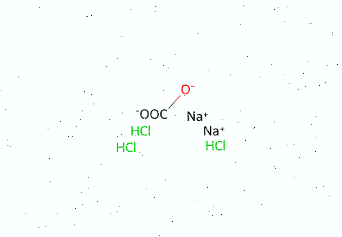 Cl.Cl.Cl.O=C([O-])[O-].[Na+].[Na+]